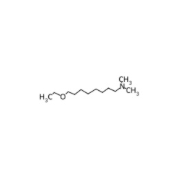 CCOCCCCCCCCN(C)C